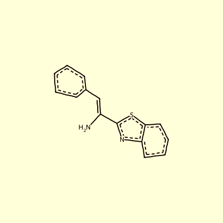 NC(=Cc1ccccc1)c1nc2ccccc2s1